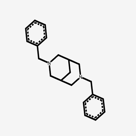 c1ccc(CN2CC3CC(C2)CN(Cc2ccccc2)C3)cc1